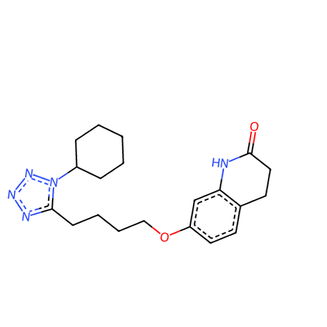 O=C1CCc2ccc(OCCCCc3nnnn3C3CCCCC3)cc2N1